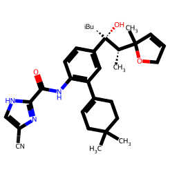 CC[C@@H](C)[C@](O)(c1ccc(NC(=O)c2nc(C#N)c[nH]2)c(C2=CCC(C)(C)CC2)c1)[C@@H](C)C1(C)C=CCO1